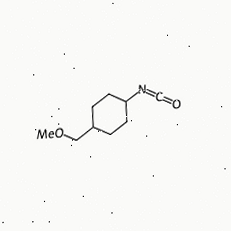 COCC1CCC(N=C=O)CC1